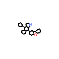 c1ccc(-c2c3ccccc3c(-c3ccc4oc5ccccc5c4c3)c3cnccc23)cc1